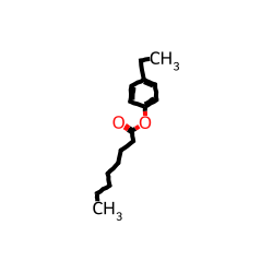 CCCCCCCC(=O)Oc1ccc(CC)cc1